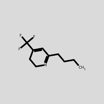 CCCCC1=NCCC(C(F)(F)F)=C1